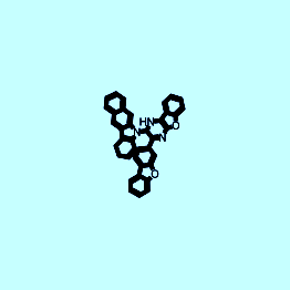 C1=Cc2c(c3cc4ccccc4cc3n2C2Nc3c(oc4ccccc34)N=C2c2ccc3c(c2)oc2ccccc23)CC1